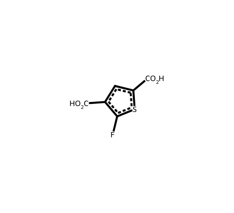 O=C(O)c1cc(C(=O)O)c(F)s1